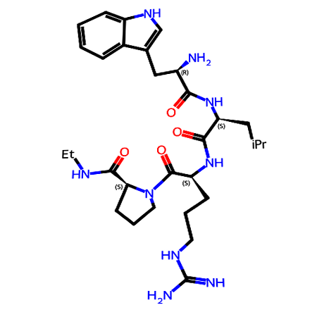 CCNC(=O)[C@@H]1CCCN1C(=O)[C@H](CCCNC(=N)N)NC(=O)[C@H](CC(C)C)NC(=O)[C@H](N)Cc1c[nH]c2ccccc12